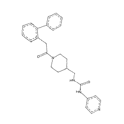 O=C(NCC1CCN(C(=O)Cc2ccccc2-c2ccccc2)CC1)Nc1ccncc1